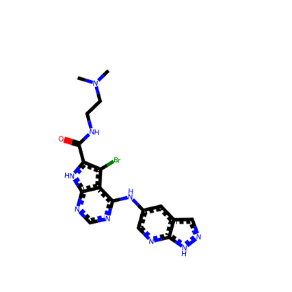 CN(C)CCNC(=O)c1[nH]c2ncnc(Nc3cnc4[nH]ncc4c3)c2c1Br